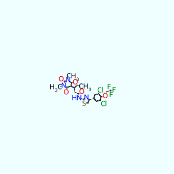 Cc1oc2c(c1CC(=O)Nc1nc(-c3cc(Cl)c(OCC(F)(F)F)c(Cl)c3)cs1)c(=O)n(C)c(=O)n2C